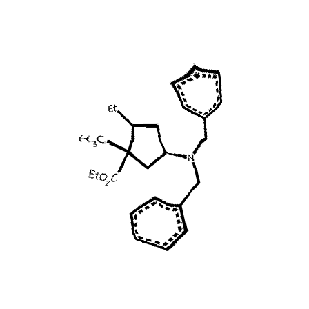 CCOC(=O)C1(C)C[C@H](N(Cc2ccccc2)Cc2ccccc2)CC1CC